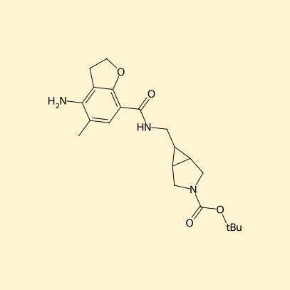 Cc1cc(C(=O)NCC2C3CN(C(=O)OC(C)(C)C)CC23)c2c(c1N)CCO2